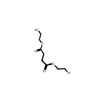 N#CCCOC(=O)CCC(=O)OCCC#N